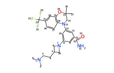 CN(C)CCC1CN(c2cccc(N3CC(C)(C)Oc4cc(C(F)(F)F)ccc43)c2)C1.NC=O